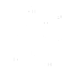 CCOC1(C2(OCC)CC2C)CC1C